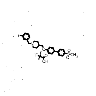 CS(=O)(=O)c1ccc(-c2ccc(OCC3CCN(Cc4cccc(F)c4)CC3)cc2)cc1.O=C(O)C(F)(F)F